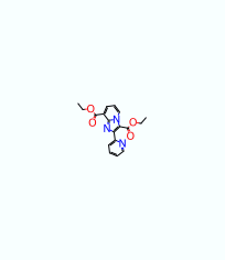 CCOC(=O)c1cccn2c(C(=O)OCC)c(-c3ccccn3)nc12